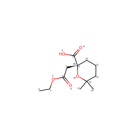 CCOC(=O)C[C@@]1(C(=O)O)CCCC(C)(C)O1